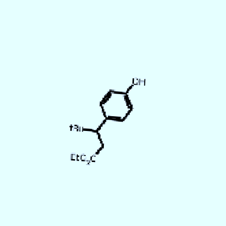 CCOC(=O)CC(c1ccc(O)cc1)C(C)(C)C